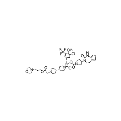 O=C(CN1CCC(C2CCN(C(=O)[C@@H](Cc3cc(Cl)c(O)c(C(F)(F)F)c3)OC(=O)N3CCC(N4CCc5ccccc5NC4=O)CC3)CC2)CC1)OCCCN1CCOCC1